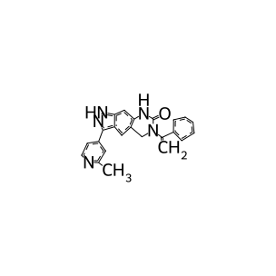 C=C(c1ccccc1)N1Cc2cc3c(-c4ccnc(C)c4)n[nH]c3cc2NC1=O